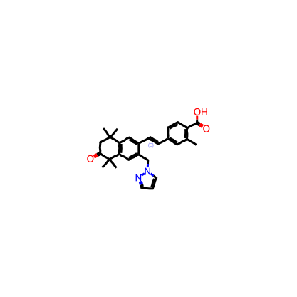 Cc1cc(/C=C/c2cc3c(cc2Cn2cccn2)C(C)(C)C(=O)CC3(C)C)ccc1C(=O)O